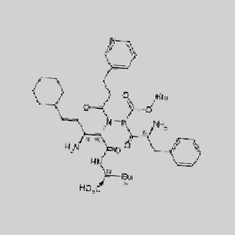 CC[C@H](C)[C@H](NC(=O)[C@H]([C@@H](N)CCC1CCCCC1)N(C(=O)CCc1cccnc1)N(C(=O)OC(C)(C)C)C(=O)[C@@H](N)Cc1ccccc1)C(=O)O